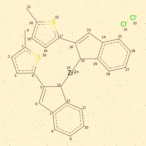 Cc1ccc(C2=Cc3ccccc3[CH]2[Zr+2][CH]2C(c3ccc(C)s3)=Cc3ccccc32)s1.[Cl-].[Cl-]